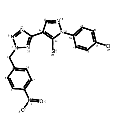 O=[N+]([O-])c1ccc(Cn2nnc(-c3cnn(-c4ccc(Cl)cc4)c3S)n2)cc1